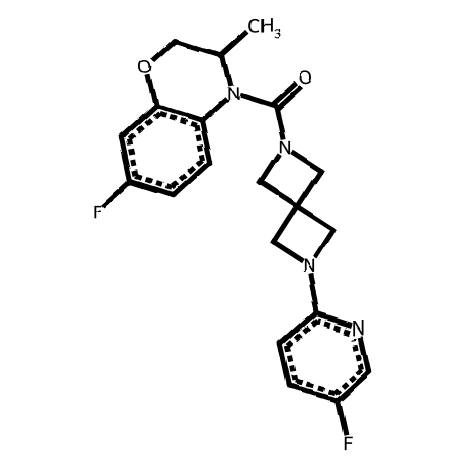 CC1COc2cc(F)ccc2N1C(=O)N1CC2(C1)CN(c1ccc(F)cn1)C2